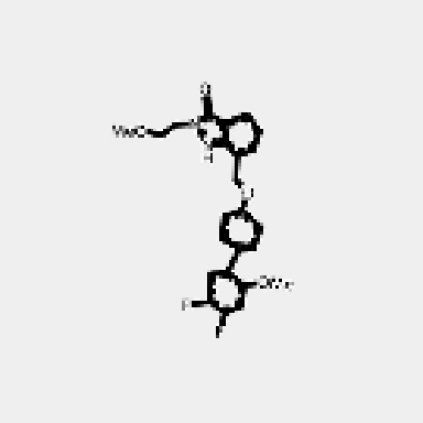 COCCn1[nH]c2c(COc3ccc(-c4cc(F)c(F)cc4OC)cc3)cccc2c1=O